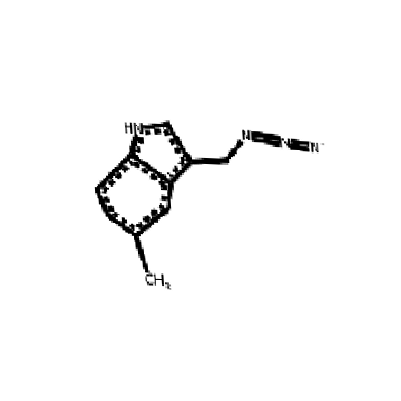 Cc1ccc2[nH]cc(CN=[N+]=[N-])c2c1